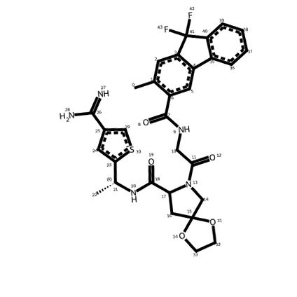 Cc1cc2c(cc1C(=O)NCC(=O)N1CC3(CC1C(=O)N[C@H](C)c1cc(C(=N)N)cs1)OCCO3)-c1ccccc1C2(F)F